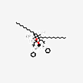 CCCCCCCCCCCCCC(CC1CC(C)(C)N(C(=O)Oc2ccccc2)C(C)(C)C1)(C1CC(C)(C)N(C(=O)Oc2ccccc2)C(C)(C)C1)C(CCCCCCCCCCCCC)(C(=O)O)C(C(=O)O)(C(=O)O)C(=O)O